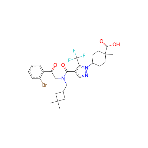 CC1(C)CC(CN(CC(=O)c2ccccc2Br)C(=O)c2cnn(C3CCC(C)(C(=O)O)CC3)c2C(F)(F)F)C1